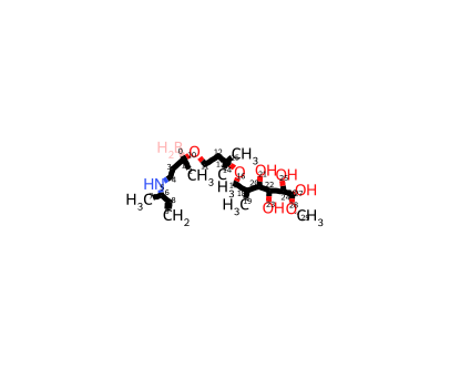 BC(C)(CCNC(C)C=C)OCCC(C)(C)OCC(C)C(O)C(O)C(O)C(O)OC